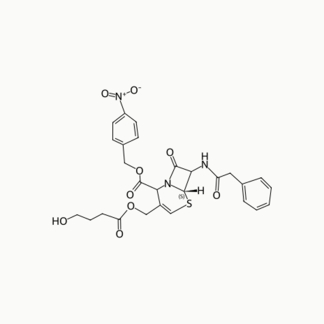 O=C(Cc1ccccc1)NC1C(=O)N2C(C(=O)OCc3ccc([N+](=O)[O-])cc3)C(COC(=O)CCCO)=CS[C@@H]12